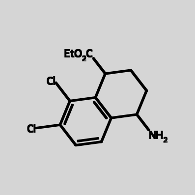 CCOC(=O)C1CCC(N)c2ccc(Cl)c(Cl)c21